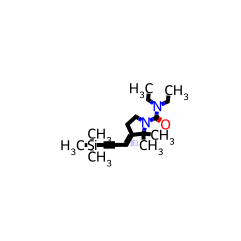 CCN(CC)C(=O)N1CC/C(=C\C#C[Si](C)(C)C)C1(C)C